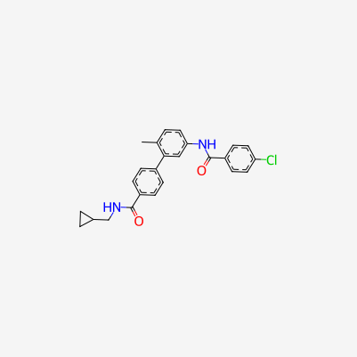 Cc1ccc(NC(=O)c2ccc(Cl)cc2)cc1-c1ccc(C(=O)NCC2CC2)cc1